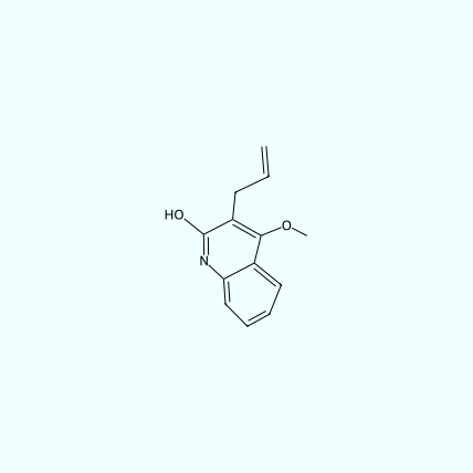 C=CCc1c(O)nc2ccccc2c1OC